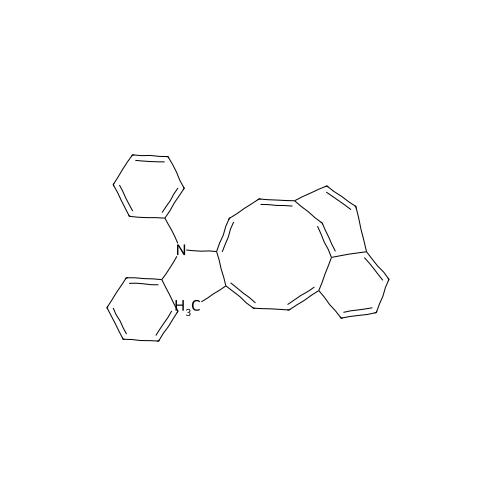 Cc1ccc2cccc3ccc(ccc1N(c1ccccc1)c1ccccc1)cc23